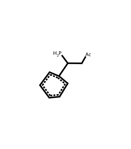 CC(=O)CC(P)c1ccccc1